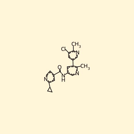 Cc1ncc(-c2cc(NC(=O)c3ccnc(C4CC4)c3)cnc2C)cc1Cl